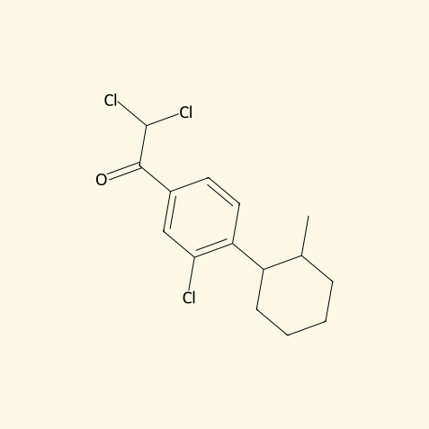 CC1CCCCC1c1ccc(C(=O)C(Cl)Cl)cc1Cl